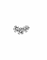 CCC1OC(OC(C(OC)OC)C(OC)C(COC)N(C)C(C)=O)C(OC)C(OC)C1OC1OC(C)C(OC)C(OC)C1OC